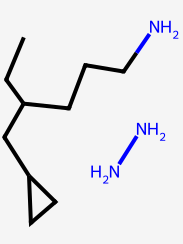 CCC(CCCN)CC1CC1.NN